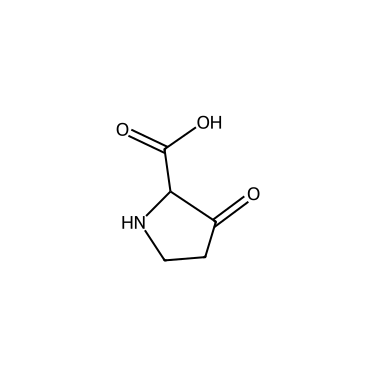 O=C(O)C1NCCC1=O